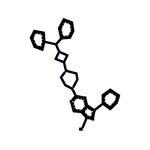 CCc1nn(-c2ccccc2)c2nc(N3CCN(C4CN(C(c5ccccc5)c5ccccc5)C4)CC3)ncc12